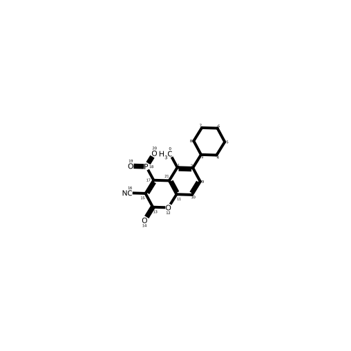 Cc1c(C2CCCCC2)ccc2oc(=O)c(C#N)c(P(=O)=O)c12